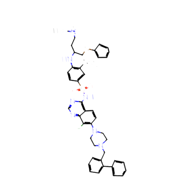 CN(C)CCC(CSc1ccccc1)Nc1ccc(S(=O)(=O)Nc2ncnc3c(F)c(N4CCN(Cc5ccccc5-c5ccccc5)CC4)ccc23)cc1[N+](=O)[O-]